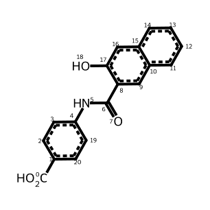 O=C(O)c1ccc(NC(=O)c2cc3ccccc3cc2O)cc1